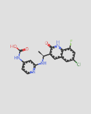 C[C@H](Nc1cc(NC(=O)O)ccn1)c1cc2cc(Cl)cc(F)c2[nH]c1=O